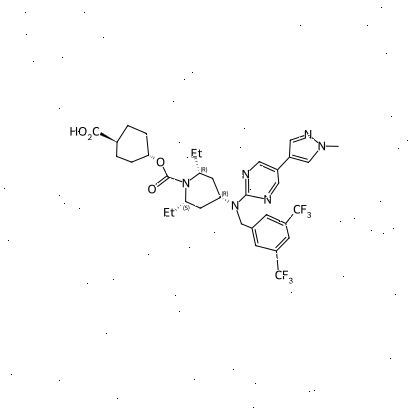 CC[C@@H]1C[C@H](N(Cc2cc(C(F)(F)F)cc(C(F)(F)F)c2)c2ncc(-c3cnn(C)c3)cn2)C[C@H](CC)N1C(=O)O[C@H]1CC[C@H](C(=O)O)CC1